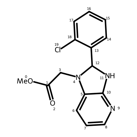 COC(=O)CN1c2cccnc2NC1c1ccccc1Cl